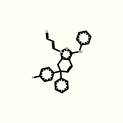 O=CC=Cn1nc(Nc2ccccc2)c2c1CC(c1ccccc1)(c1ccc(F)cc1)C=C2